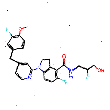 COc1ccc(Cc2ccnc(N3CCc4c3ccc(F)c4C(=O)NCC(F)CO)c2)cc1F